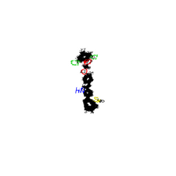 CSc1ccccc1-c1ccc2c(c1)NCC2Cc1ccc(OCCOc2c(Cl)cc(C)cc2Cl)cc1